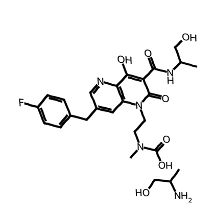 CC(CO)NC(=O)c1c(O)c2ncc(Cc3ccc(F)cc3)cc2n(CCN(C)C(=O)O)c1=O.CC(N)CO